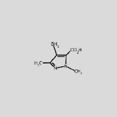 Bc1c(C)nn(C)c1C(=O)O